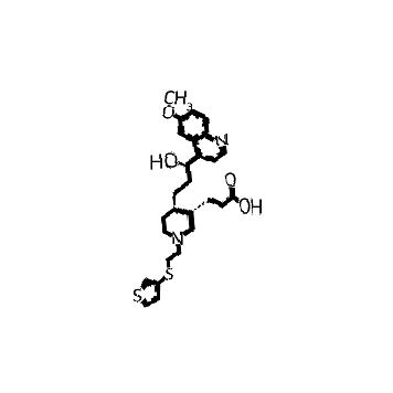 COc1ccc2nccc([C@H](O)CC[C@@H]3CCN(CCSc4ccsc4)C[C@H]3CCC(=O)O)c2c1